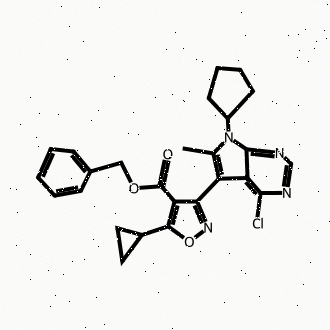 Cc1c(-c2noc(C3CC3)c2C(=O)OCc2ccccc2)c2c(Cl)ncnc2n1C1CCCC1